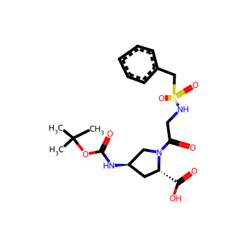 CC(C)(C)OC(=O)N[C@@H]1C[C@@H](C(=O)O)N(C(=O)CNS(=O)(=O)Cc2ccccc2)C1